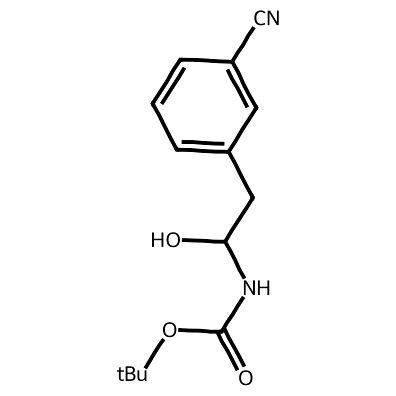 CC(C)(C)OC(=O)NC(O)Cc1cccc(C#N)c1